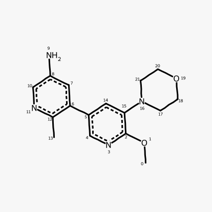 COc1ncc(-c2cc(N)cnc2C)cc1N1CCOCC1